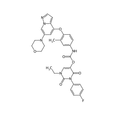 CCn1cc(OC(=O)Nc2ccc(Oc3cc(N4CCOCC4)cn4nccc34)c(C)c2)c(=O)n(-c2ccc(F)cc2)c1=O